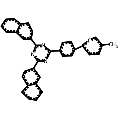 Cc1ccc(-c2ccc(-c3nc(-c4ccc5ccccc5c4)nc(-c4ccc5ccccc5c4)n3)cc2)cc1